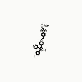 COCCS(=O)(=O)c1ccc(CCN2CC=C(c3c[nH]c(-c4ccc(F)cc4)c3-c3ccncc3)CC2)cc1